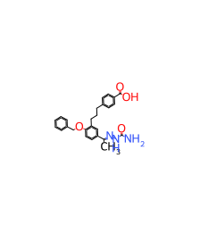 CC(=NNC(N)=O)c1ccc(OCc2ccccc2)c(CCCc2ccc(C(=O)O)cc2)c1